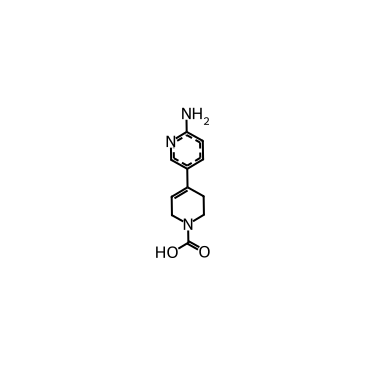 Nc1ccc(C2=CCN(C(=O)O)CC2)cn1